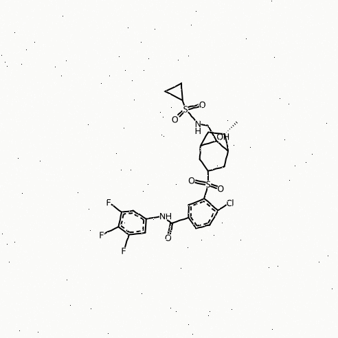 C[C@H]1CC2CC(S(=O)(=O)c3cc(C(=O)Nc4cc(F)c(F)c(F)c4)ccc3Cl)CC1[C@@]2(O)CNS(=O)(=O)C1CC1